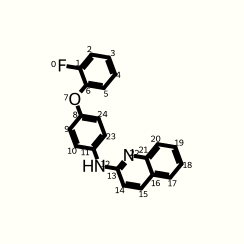 Fc1ccccc1Oc1ccc(Nc2ccc3ccccc3n2)cc1